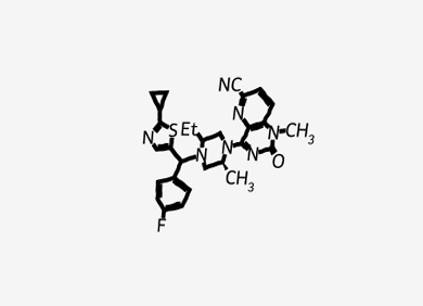 CCC1CN(c2nc(=O)n(C)c3ccc(C#N)nc23)[C@@H](C)CN1C(c1ccc(F)cc1)c1cnc(C2CC2)s1